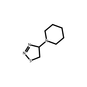 C1CCN(C2CSN=N2)CC1